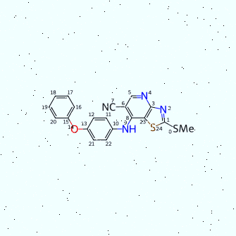 CSc1nc2ncc(C#N)c(Nc3ccc(Oc4ccccc4)cc3)c2s1